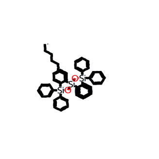 [CH2]CCCCCCC[Si](O[Si](c1ccccc1)(c1ccccc1)c1ccccc1)(O[Si](c1ccccc1)(c1ccccc1)c1ccccc1)c1ccccc1